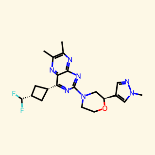 Cc1nc2nc(N3CCO[C@H](c4cnn(C)c4)C3)nc([C@H]3C[C@@H](C(F)F)C3)c2nc1C